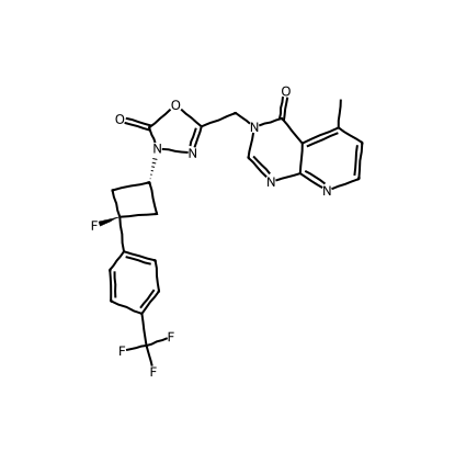 Cc1ccnc2ncn(Cc3nn([C@H]4C[C@@](F)(c5ccc(C(F)(F)F)cc5)C4)c(=O)o3)c(=O)c12